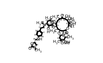 CC[C@H]1OC(=O)[C@H](C)[C@@H](O[C@H]2C[C@@](C)(OC)[C@@H](O)[C@H](C)O2)[C@H](C)[C@@H](O[C@@H]2O[C@H](C)C[C@H](N(C)CCc3ccc(NC[C@@H]4CN(C)C(=O)O4)cc3)[C@H]2O)[C@](C)(O)C[C@@H](C)C(=O)[C@H](C)[C@@H](O)[C@]1(C)O